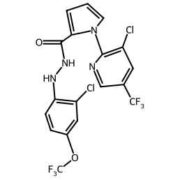 O=C(NNc1ccc(OC(F)(F)F)cc1Cl)c1cccn1-c1ncc(C(F)(F)F)cc1Cl